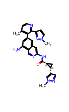 Cc1ccnc(-c2ccn(C)n2)c1-c1cc(N)c2cnc(NC(=O)[C@H]3C[C@@H]3c3cnn(C)c3)cc2c1